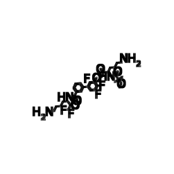 COC(C)(C)C(=O)NC(CCCCN)C(=O)COc1c(F)c(F)cc(-c2cccc(C(=O)NC(CCCCN)C(=O)C(F)F)c2)c1F